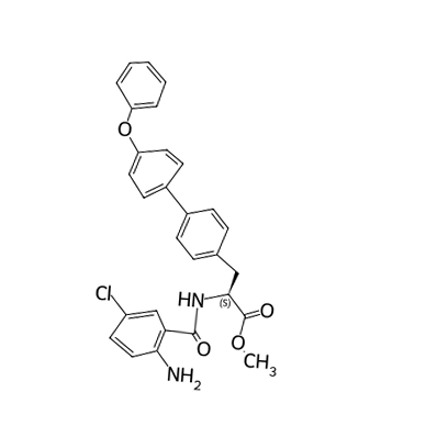 COC(=O)[C@H](Cc1ccc(-c2ccc(Oc3ccccc3)cc2)cc1)NC(=O)c1cc(Cl)ccc1N